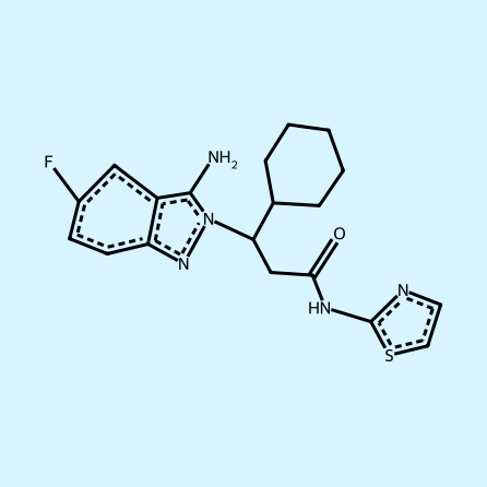 Nc1c2cc(F)ccc2nn1C(CC(=O)Nc1nccs1)C1CCCCC1